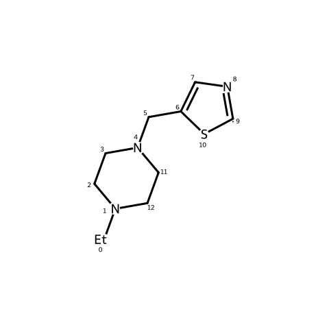 CCN1CCN(Cc2cn[c]s2)CC1